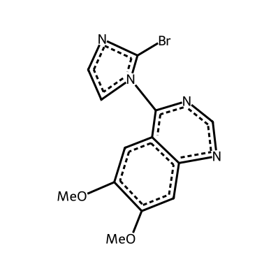 COc1cc2ncnc(-n3ccnc3Br)c2cc1OC